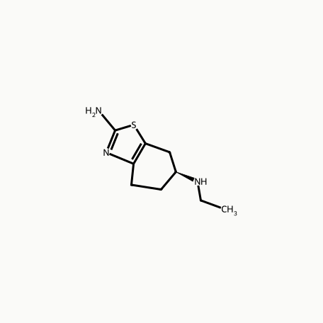 CCN[C@H]1CCc2nc(N)sc2C1